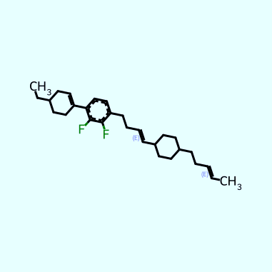 C/C=C/CCC1CCC(/C=C/CCc2ccc(C3=CCC(CC)CC3)c(F)c2F)CC1